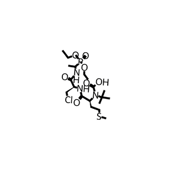 CCOP(=O)(OCC)C(C)NC(=O)[C@H](CCl)NC(=O)[C@H](CCSC)N(C(=O)O)C(C)(C)C